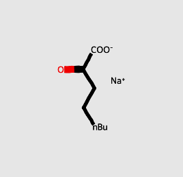 CCCCCCC(=O)C(=O)[O-].[Na+]